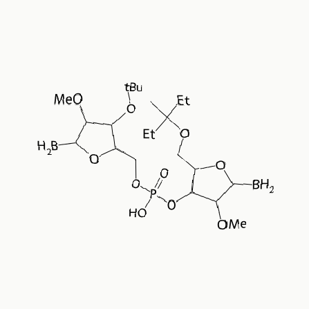 BC1OC(COP(=O)(O)OC2C(COC(C)(CC)CC)OC(B)C2OC)C(OC(C)(C)C)C1OC